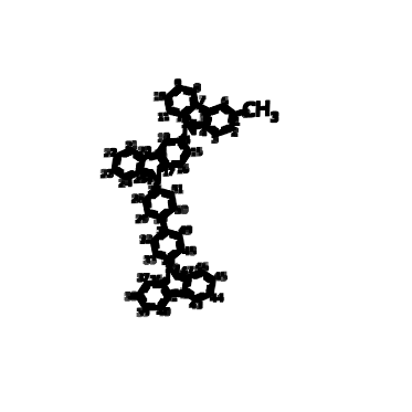 Cc1ccc2c(c1)c1ccccc1n2-c1ccc2c(c1)c1ccccc1n2-c1ccc(-c2ccc(-n3c4ccccc4c4ccccc43)cc2)cc1